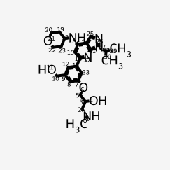 CNCC(O)COc1cc(CO)cc(-c2cc(NC3CCOCC3)c3cnn(C(C)C)c3n2)c1